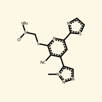 CCCC[S+]([O-])CSc1nc(-c2nccs2)cc(-c2cnnn2C)c1C#N